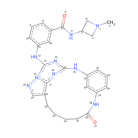 CN1CC(NC(=O)c2cccc(Nc3nc4nc5c(cnn35)CCCCC(=O)Nc3cccc(c3)N4)c2)C1